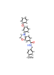 CSc1ccc(CNC(=O)c2ccc3c(c2)OCCN3c2cccc(Oc3ccccc3)c2)cc1